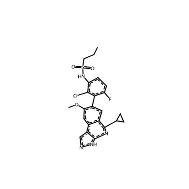 CCCS(=O)(=O)Nc1ccc(F)c(-c2cc3c(C4CC4)nc4[nH]ncc4c3cc2OC)c1Cl